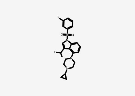 O=S(=O)(c1cccc(F)c1)n1cc(C(F)F)c2c(N3CCN(C4CC4)CC3)cccc21